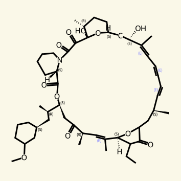 CCC1C(=O)C2C[C@H](C)/C=C/C=C/C=C(\C)[C@@H](O)C[C@@H]3CC[C@@H](C)C(O)(O3)C(=O)C(=O)N3CCCC[C@H]3C(=O)O[C@H]([C@H](C)C[C@@H]3CCCC(OC)C3)CC(=O)[C@H](C)/C=C(\C)[C@H]1O2